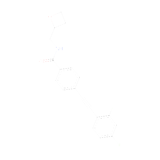 O=C(NCC1CCO1)c1ccc(C#Cc2ccc(F)cc2F)cc1